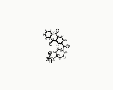 O=C1c2ccccc2C(=O)c2cc(C(=O)N3CCCC(C[SH](=O)=O)CC3)ccc21